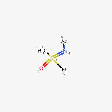 CCS(C)(=O)=NC(C)=O